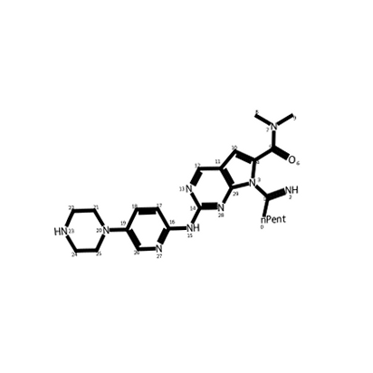 CCCCCC(=N)n1c(C(=O)N(C)C)cc2cnc(Nc3ccc(N4CCNCC4)cn3)nc21